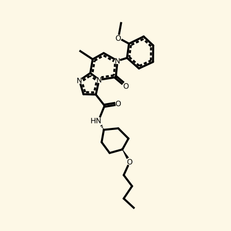 CCCCO[C@H]1CC[C@H](NC(=O)c2cnc3c(C)cn(-c4ccccc4OC)c(=O)n23)CC1